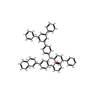 c1ccc(-c2ccc(N(c3ccc(-c4cc(-c5ccccc5)cc(-c5ccccc5)c4)cc3)c3cc(-c4ccc5ccccc5c4)ccc3-c3ccccc3)cc2)cc1